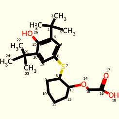 CC(C)(C)c1cc(SC2CCCCC2OCC(=O)O)cc(C(C)(C)C)c1O